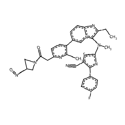 CCc1nc2ccc(-c3ccc(CC(=O)N4CC(N=O)C4)nc3C)cn2c1N(C)c1nc(-c2ccc(F)cc2)c(C#N)s1